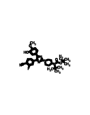 COc1ccc(-c2sc(N3CCC(N(C(=O)OC(C)(C)C)C(C)(C)C)CC3)nc2-c2ccc(C#N)c(F)c2)cc1O